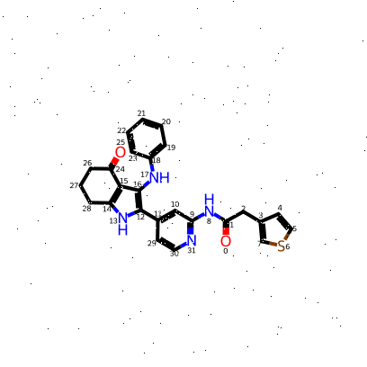 O=C(Cc1ccsc1)Nc1cc(-c2[nH]c3c(c2Nc2ccccc2)C(=O)CCC3)ccn1